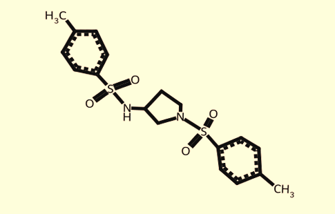 Cc1ccc(S(=O)(=O)NC2CCN(S(=O)(=O)c3ccc(C)cc3)C2)cc1